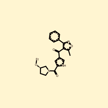 CCO[C@@H]1CCN(C(=O)c2cc(C(=O)c3c(-c4ccccc4)noc3C)c[nH]2)C1